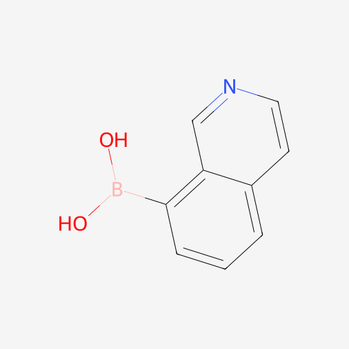 OB(O)c1cccc2ccncc12